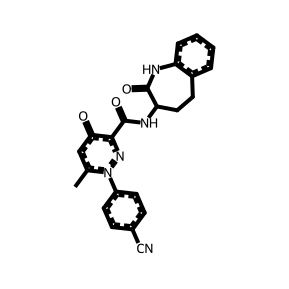 Cc1cc(=O)c(C(=O)NC2CCc3ccccc3NC2=O)nn1-c1ccc(C#N)cc1